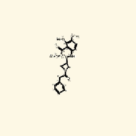 CCCCCCCCc1ccc(NOC2CN(C(=O)Cc3ccccc3)C2)c(C(=O)OOC)c1OC